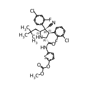 COC(=O)Oc1ccc(NC(=O)[C@@H]2N[C@@H](CC(C)(C)C)[C@](C#N)(c3ccc(Cl)cc3F)[C@H]2c2cccc(Cl)c2F)s1